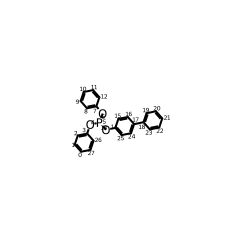 c1ccc(OP(Oc2ccccc2)Oc2ccc(-c3ccccc3)cc2)cc1